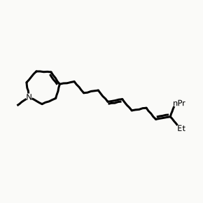 CCC/C(=C\CC/C=C/CCCC1=CCCN(C)CC1)CC